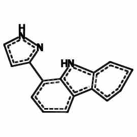 c1ccc2c(c1)[nH]c1c(-c3cc[nH]n3)cccc12